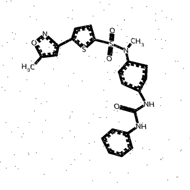 Cc1cc(-c2ccc(S(=O)(=O)N(C)c3ccc(NC(=O)Nc4ccccc4)cc3)s2)no1